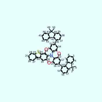 CC1(C)c2ccccc2-c2c(-c3cc4c5c(c3)Oc3cc6c(sc7ccccc76)c6c3N5c3c(cc(-c5cccc7c5-c5ccccc5C7(C)C)cc3O6)O4)cccc21